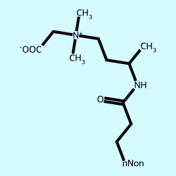 CCCCCCCCCCCC(=O)NC(C)CC[N+](C)(C)CC(=O)[O-]